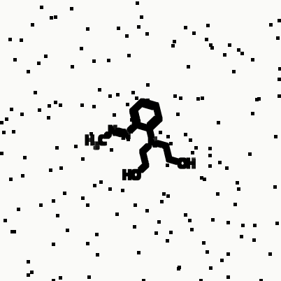 CN=Nc1ccccc1N(CCO)CCO